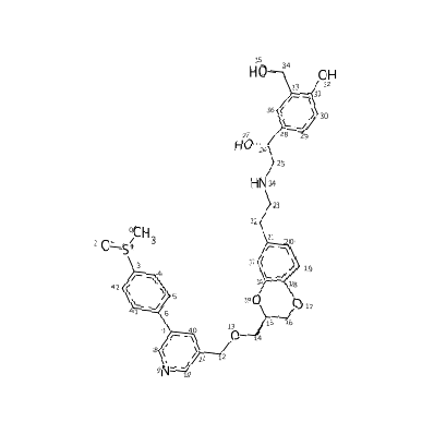 C[S+]([O-])c1ccc(-c2cncc(COC[C@@H]3COc4ccc(CCNC[C@H](O)c5ccc(O)c(CO)c5)cc4O3)c2)cc1